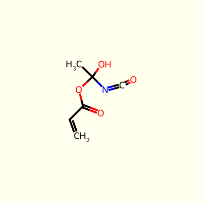 C=CC(=O)OC(C)(O)N=C=O